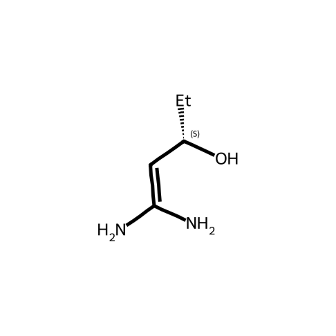 CC[C@H](O)C=C(N)N